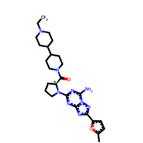 Cc1ccc(-c2nc3nc(N4CCC[C@H]4C(=O)N4CCC(C5CCN(CC(F)(F)F)CC5)CC4)nc(N)n3n2)o1